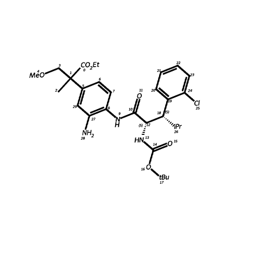 CCOC(=O)C(C)(COC)c1ccc(NC(=O)[C@@H](NC(=O)OC(C)(C)C)[C@H](c2ccccc2Cl)C(C)C)c(N)c1